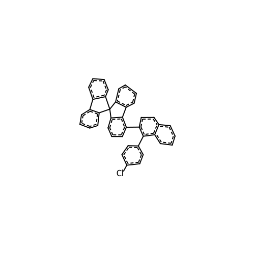 Clc1ccc(-c2c(-c3cccc4c3-c3ccccc3C43c4ccccc4-c4ccccc43)ccc3ccccc23)cc1